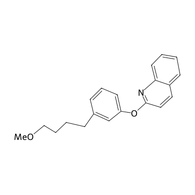 COCCCCc1cccc(Oc2ccc3ccccc3n2)c1